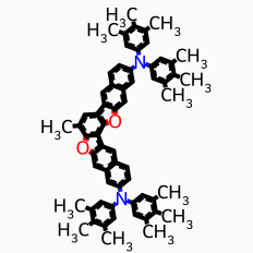 Cc1cc(N(c2cc(C)c(C)c(C)c2)c2ccc3cc4c(cc3c2)oc2c4cc(C)c3oc4cc5cc(N(c6cc(C)c(C)c(C)c6)c6cc(C)c(C)c(C)c6)ccc5cc4c32)cc(C)c1C